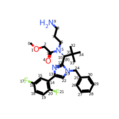 COCC(=O)N(CCCN)[C@@H](c1nc(-c2cc(F)ccc2F)cn1Cc1ccccc1)C(C)(C)C